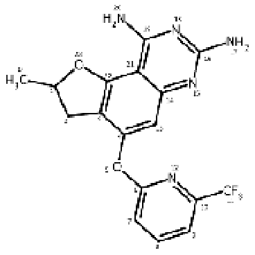 CC1Cc2c(Oc3cccc(C(F)(F)F)n3)cc3nc(N)nc(N)c3c2O1